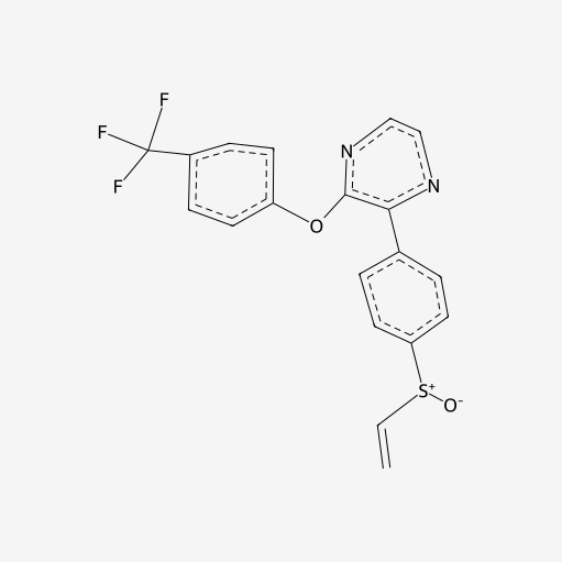 C=C[S+]([O-])c1ccc(-c2nccnc2Oc2ccc(C(F)(F)F)cc2)cc1